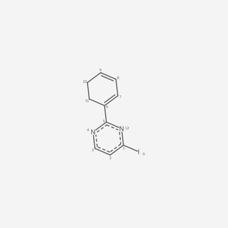 Ic1ccnc(C2=CC=CCC2)n1